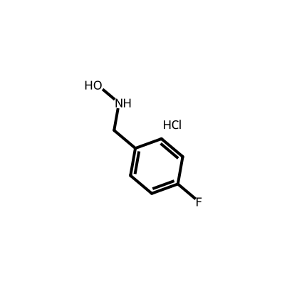 Cl.ONCc1ccc(F)cc1